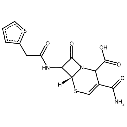 NC(=O)C1=CS[C@@H]2C(NC(=O)Cc3cccs3)C(=O)N2C1C(=O)O